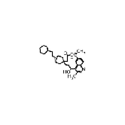 COc1ccc2ncc(C)c([C@H](O)CCC3(CC(=O)O)CCN(CCC4CCCCC4)CC3)c2c1